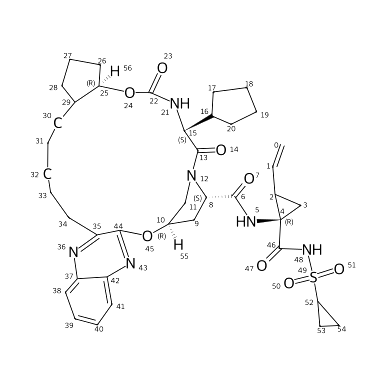 C=CC1C[C@]1(NC(=O)[C@@H]1C[C@@H]2CN1C(=O)[C@H](C1CCCC1)NC(=O)O[C@@H]1CCCC1CCCCCc1nc3ccccc3nc1O2)C(=O)NS(=O)(=O)C1CC1